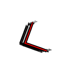 O.O.O.O.O.O.O.O.O.O.O.O.O.O.O.O.O.O.O.O.O.O.O.O.O.O.O.O.O.O.O.O.O.O.O.O.O.O.O.O.O.O.O.O.O.O.O.O.O.O.O.O.O.O.O.O.O.O.O.O.O.O.O.O.O.O.O.O.O.O.O.O.O.O.O.O.O.O.O.O.O.O.[Al+3].[Al+3].[Al+3].[OH-].[OH-].[OH-].[OH-].[OH-].[OH-].[OH-].[OH-].[OH-]